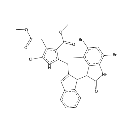 COC(=O)Cc1c(Cl)[nH]c(CC2=Cc3ccccc3C2C2C(=O)Nc3c(Br)cc(Br)c(C)c32)c1C(=O)OC